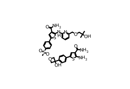 CC(C)(O)COCc1cccc(Nc2sc(-c3ccc(S(C)(=O)=O)cc3)cc2C(N)=O)n1.NC(=O)c1cc(-c2ccc(C3(O)COC3)cc2)sc1N